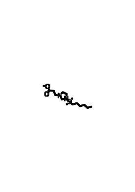 CCCCCC[Si](C)(C)N1CCN(CCC(=O)OC)C1